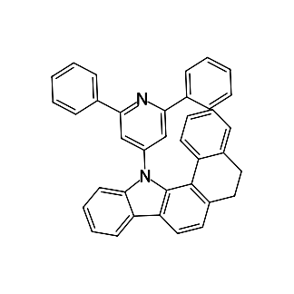 c1ccc(-c2cc(-n3c4ccccc4c4ccc5c(c43)-c3ccccc3CC5)cc(-c3ccccc3)n2)cc1